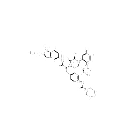 O=C(O)c1cc2cc(NC(=O)[C@H](Cc3ccc(NC(=O)N4CCOCC4)cc3)N3CCN(c4cc(Cl)ccc4-n4cnnn4)C(=O)C3=O)ccc2n1C(=O)O